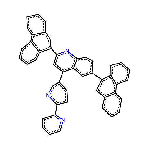 c1ccc(-c2ccc(-c3cc(-c4cc5ccccc5c5ccccc45)nc4ccc(-c5cc6ccccc6c6ccccc56)cc34)cn2)nc1